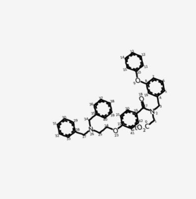 CCOC(=O)CN(Cc1cccc(Oc2ccccc2)c1)C(=O)c1ccc(OCCN(Cc2ccccc2)Cc2ccccc2)cc1